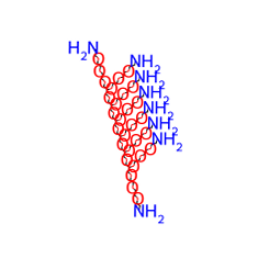 NCCOCCOCCOCC(COCC(COCC(COCC(COCC(COCC(COCCOCCOCCN)OCCOCCOCCN)OCCOCCOCCN)OCCOCCOCCN)OCCOCCOCCN)OCCOCCOCCN)OCCOCCOCCN